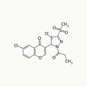 CCC(=O)N1N=C(S(C)(=O)=O)[S+]([O-])C1c1coc2ccc(Cl)cc2c1=O